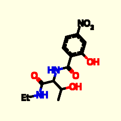 CCNC(=O)C(NC(=O)c1ccc([N+](=O)[O-])cc1O)C(C)O